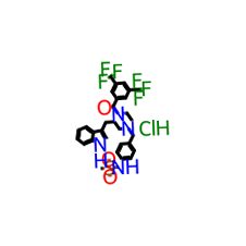 CS(=O)(=O)Nc1ccc(CN2CCN(C(=O)c3cc(C(F)(F)F)cc(C(F)(F)F)c3)C(Cc3c[nH]c4ccccc34)C2)cc1.Cl